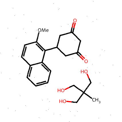 CC(CO)(CO)CO.COc1ccc2ccccc2c1C1CC(=O)CC(=O)C1